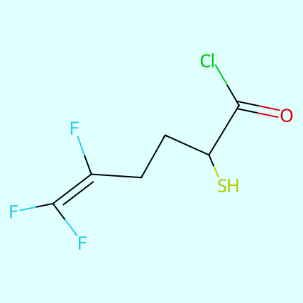 O=C(Cl)C(S)CCC(F)=C(F)F